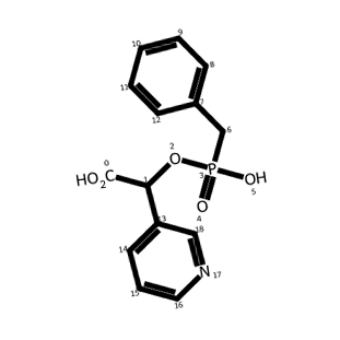 O=C(O)C(OP(=O)(O)Cc1ccccc1)c1cccnc1